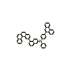 c1ccc(N(c2ccc(-c3cc4ccccc4c4ccccc34)cc2)c2ccc3c(-c4ccc5ccc6ccc7ccccc7c6c5c4)cccc3c2)cc1